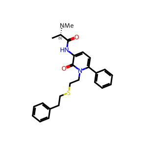 CN[C@@H](C)C(=O)Nc1ccc(-c2ccccc2)n(CCSCCc2ccccc2)c1=O